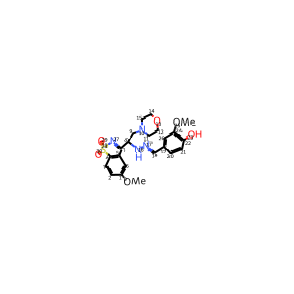 COc1ccc2c(c1)C(C(CN1CCOCC1)N/N=C/c1ccc(O)c(OC)c1)=NS2(=O)=O